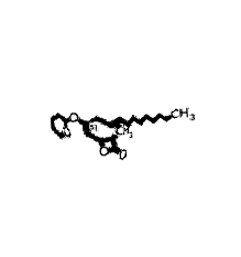 CCCCCCCCCCC[C@@H](CC1OC(=O)C1C)OC1CCCCO1